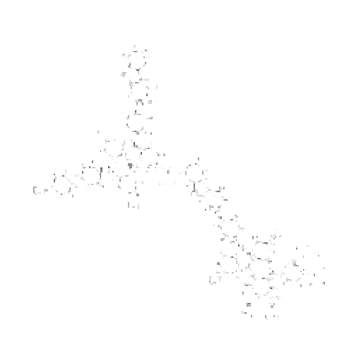 Cc1cc2c3c(c1)N(c1ccc(-c4ccc(C(C)(C)C)cc4)cc1)c1cc(C(C)(C)C)ccc1B3c1cc(C(C)(C)Cc3cccc4c3oc3cc(-c5ccc(N6c7ccc(C(C)(C)C)cc7B7c8cc9c(cc8N(c8ccc%10c(c8)C(C)(C)CCC%10(C)C)c8cc(C(C)(C)C)cc6c87)C(C)(C)CCC9(C)C)cc5)ccc34)ccc1N2c1ccc(-c2ccc3c(c2)oc2ccccc23)cc1